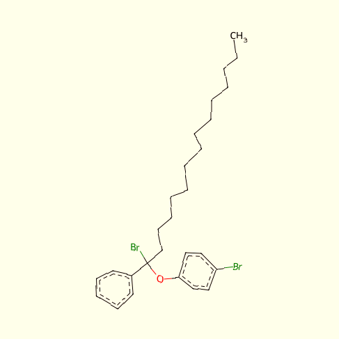 CCCCCCCCCCCCCCC(Br)(Oc1ccc(Br)cc1)c1ccccc1